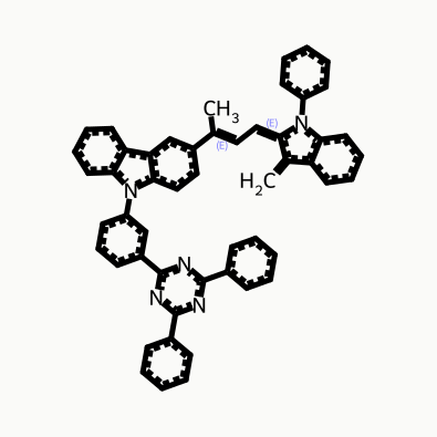 C=c1/c(=C\C=C(/C)c2ccc3c(c2)c2ccccc2n3-c2cccc(-c3nc(-c4ccccc4)nc(-c4ccccc4)n3)c2)n(-c2ccccc2)c2ccccc12